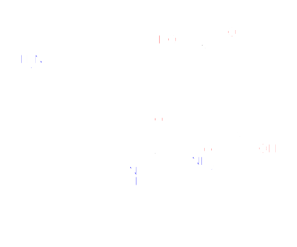 CC(C)c1ccc(C(C)N)cc1NC(N)=O.O=C(O)C=CC(=O)O